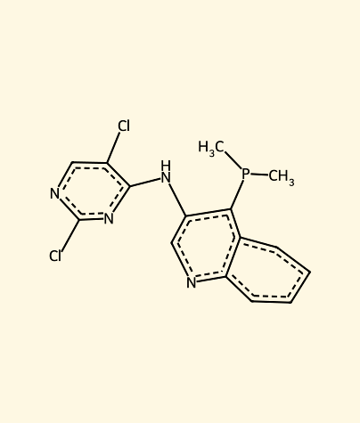 CP(C)c1c(Nc2nc(Cl)ncc2Cl)cnc2ccccc12